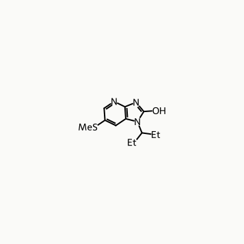 CCC(CC)n1c(O)nc2ncc(SC)cc21